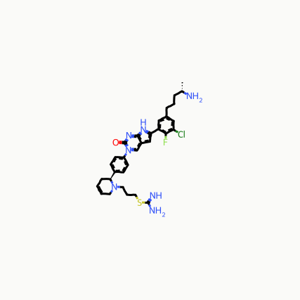 C[C@H](N)CCCc1cc(Cl)c(F)c(-c2cc3cn(-c4ccc([C@@H]5CC=CCN5CCCSC(=N)N)cc4)c(=O)nc3[nH]2)c1